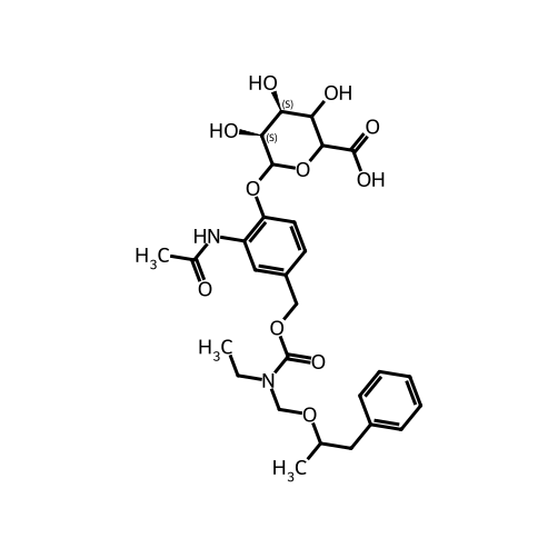 CCN(COC(C)Cc1ccccc1)C(=O)OCc1ccc(OC2OC(C(=O)O)C(O)[C@H](O)[C@@H]2O)c(NC(C)=O)c1